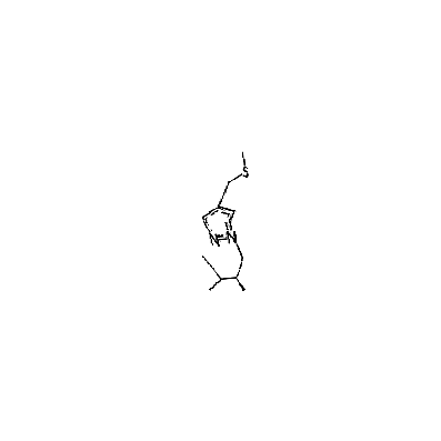 CSCc1cnn(C[C@@H](C)C(C)C)c1